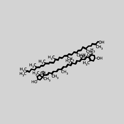 CC(C)=CCC/C(C)=C/C=C/C(C)=C/C=C/C(C)=C/C=C/C=C(C)/C=C/C=C(C)/C=C/C=C(\C)CC/C=C(\C)CO.CC1=C(/C=C/C(C)=C/C=C/C(C)=C/C=C/C=C(C)/C=C/C=C(C)/C=C/C(=O)[C@]2(C)C[C@@H](O)CC2(C)C)C(C)(C)C[C@H](O)C1